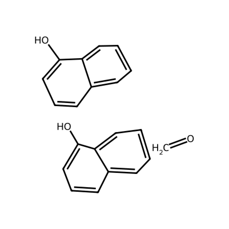 C=O.Oc1cccc2ccccc12.Oc1cccc2ccccc12